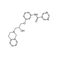 O=C(Nc1cccc(OCC(O)CN2CCc3ccccc3C2)c1)c1cncnc1